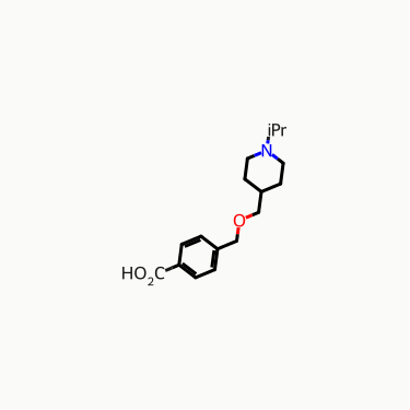 CC(C)N1CCC(COCc2ccc(C(=O)O)cc2)CC1